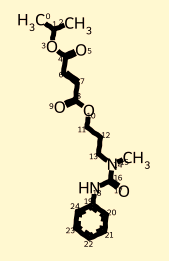 CC(C)OC(=O)/C=C/C(=O)OCCCN(C)C(=O)Nc1ccccc1